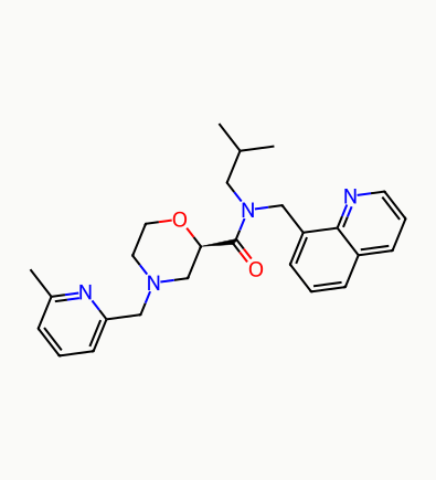 Cc1cccc(CN2CCO[C@@H](C(=O)N(Cc3cccc4cccnc34)CC(C)C)C2)n1